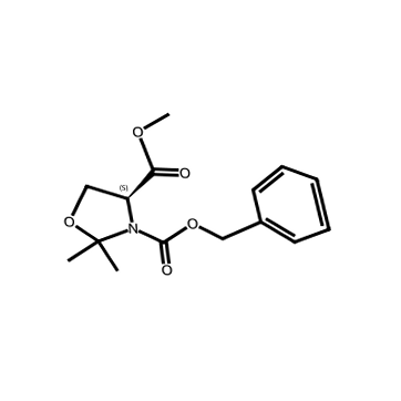 COC(=O)[C@@H]1COC(C)(C)N1C(=O)OCc1ccccc1